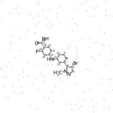 Cn1ncc(Br)c1-c1cccc(Nc2ccc(C([NH])=O)c(F)c2)c1